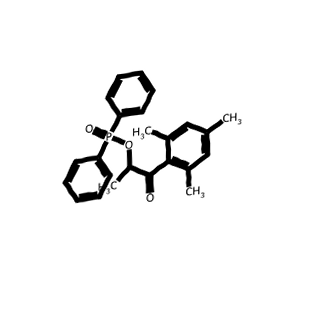 Cc1cc(C)c(C(=O)C(C)OP(=O)(c2ccccc2)c2ccccc2)c(C)c1